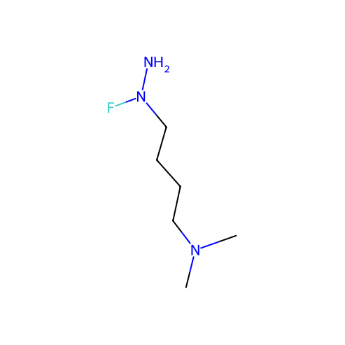 CN(C)CCCCN(N)F